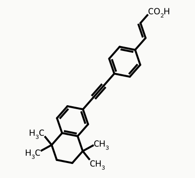 CC1(C)CCC(C)(C)c2cc(C#Cc3ccc(/C=C/C(=O)O)cc3)ccc21